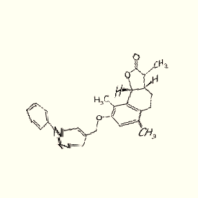 Cc1cc(OCc2cnn(-c3ccccc3)c2)c(C)c2c1CC[C@H]1C(C)C(=O)O[C@@H]21